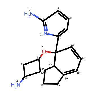 Nc1cccc(C2(OC3CC(N)C3)C=CC=C3CCCC32)n1